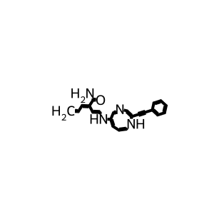 C=C/C=C(\C=C\Nc1ccc[nH]c(C#Cc2ccccc2)cnc1)C(N)=O